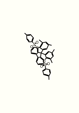 Cc1ccc(S(=O)(=O)Oc2c(C)cc(C)cc2C2(c3cc(C)cc(C)c3OS(=O)(=O)c3ccc(C)cc3)c3ccccc3-c3ccccc32)cc1